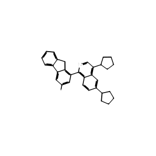 Cc1cc2c(c(-c3ncc(C4CCCC4)c4cc(C5CCCC5)ccc34)c1)Cc1ccccc1-2